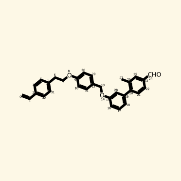 C=Cc1ccc(CCOc2ccc(COc3cccc(-c4ccc(C=O)cc4C)c3)cc2)cc1